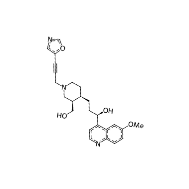 COc1ccc2nccc([C@H](O)CC[C@@H]3CCN(CC#Cc4cnco4)C[C@@H]3CO)c2c1